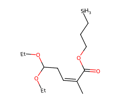 CCOC(CC=C(C)C(=O)OCCC[SiH3])OCC